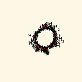 CCCC[C@H]1C(=O)N(C)[C@@H](CCCC)C(=O)N[C@@H](CC(C)C)C(=O)N(C)CC(=O)NCC(=O)N[C@@H](Cc2ccc(O)cc2)C(=O)N(C)[C@@H](C)C(=O)N[C@@H](CC(N)=O)C(=O)N2CCC[C@H]2C(=O)N[C@@H](CN)C(=O)N[C@@H](CC(C)C)C(=O)C2N[C@@H](C[C@H]2O)C(=O)N[C@@H](Cc2c[nH]c3ccccc23)C(=O)N[C@@H](CCN)C(=O)N[C@@H](Cc2c[nH]c3ccccc23)C(=O)N1C